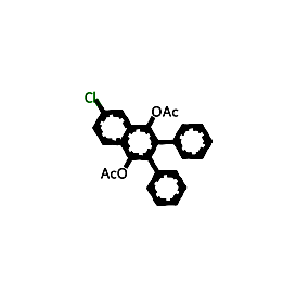 CC(=O)Oc1c(-c2ccccc2)c(-c2ccccc2)c(OC(C)=O)c2cc(Cl)ccc12